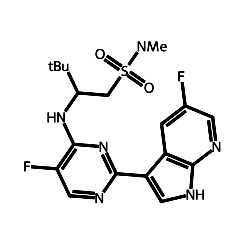 CNS(=O)(=O)CC(Nc1nc(-c2c[nH]c3ncc(F)cc23)ncc1F)C(C)(C)C